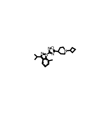 Cc1cccc2c(C(C)C)nn(-c3noc(C4CCN(C5CCC5)CC4)n3)c12